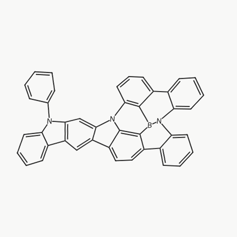 c1ccc(-n2c3ccccc3c3cc4c5ccc6c7c5n(c4cc32)-c2cccc3c2B7N(c2ccccc2-3)c2ccccc2-6)cc1